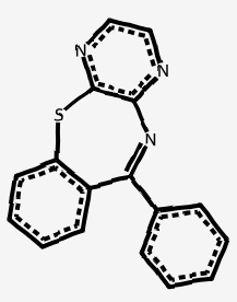 c1ccc(C2=Nc3nccnc3Sc3ccccc32)cc1